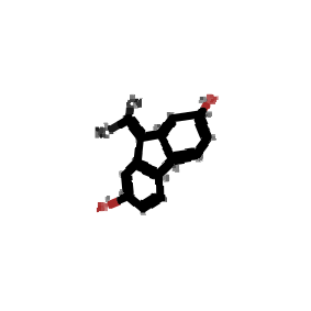 N#CC(C#N)=C1c2cc(Br)ccc2-c2ccc(Br)cc21